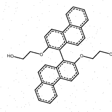 OCCOc1ccc2c(ccc3ccccc32)c1-c1c(OCCO)ccc2c1ccc1ccccc12